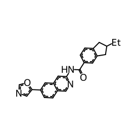 CCC1Cc2ccc(C(=O)Nc3cc4cc(-c5cnco5)ccc4cn3)cc2C1